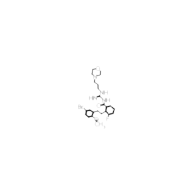 COc1ccc(Br)cc1CCc1c(F)cccc1C(=O)NC(=N)NCCCN1CCOCC1